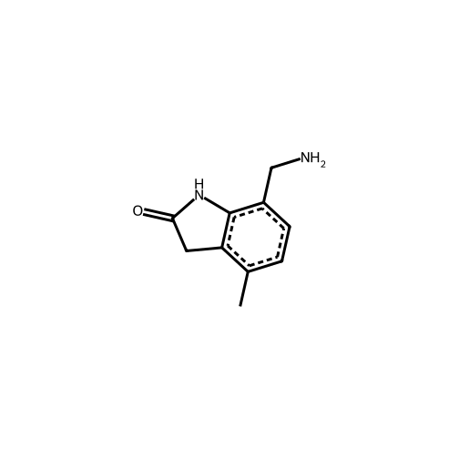 Cc1ccc(CN)c2c1CC(=O)N2